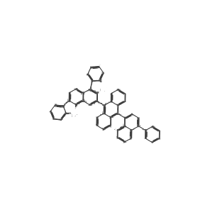 c1ccc(-c2ccc(-c3c4ccccc4c(-c4cc5c(ccc6c7ccccc7oc65)c5c4oc4ccccc45)c4ccccc34)c3ccccc23)cc1